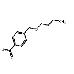 CCCCOCc1ccc(C(=O)O)cc1